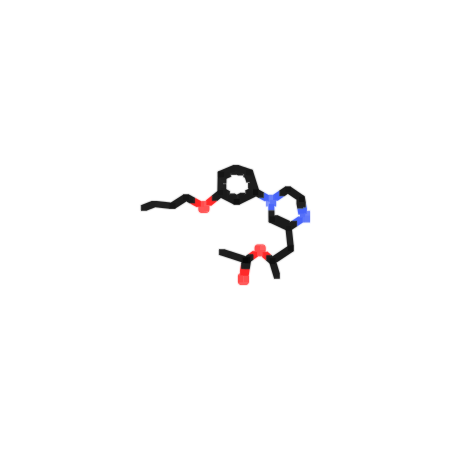 CCCCOc1cccc(N2C=C(CC(C)OC(C)=O)N=CC2)c1